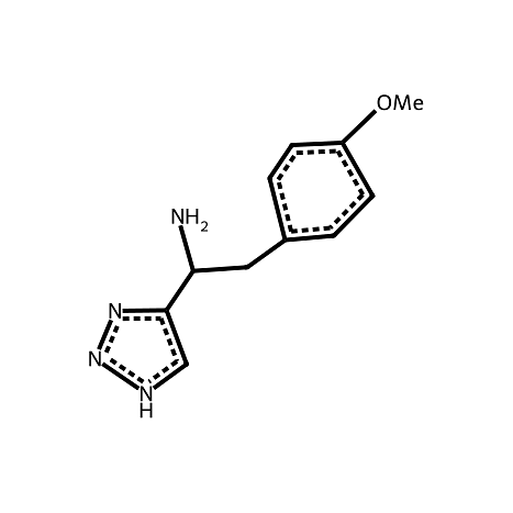 COc1ccc(CC(N)c2c[nH]nn2)cc1